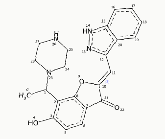 CC(c1c(O)ccc2c1O/C(=C\c1n[nH]c3ccccc13)C2=O)N1CCNCC1